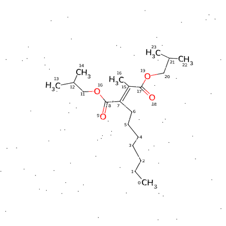 CCCCCCCC(C(=O)OCC(C)C)=C(C)C(=O)OCC(C)C